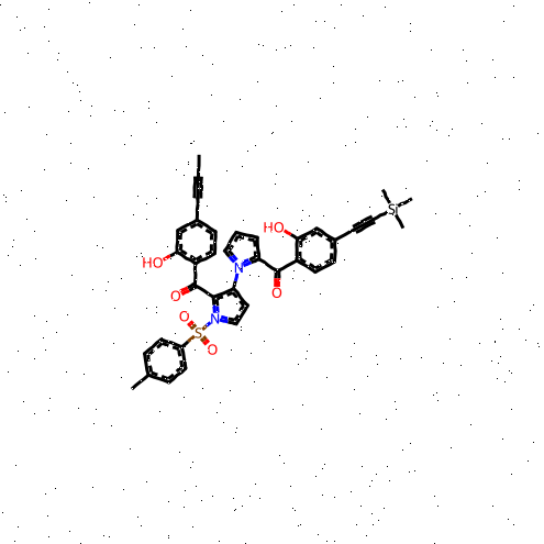 CC#Cc1ccc(C(=O)c2c(-n3cccc3C(=O)c3ccc(C#C[Si](C)(C)C)cc3O)ccn2S(=O)(=O)c2ccc(C)cc2)c(O)c1